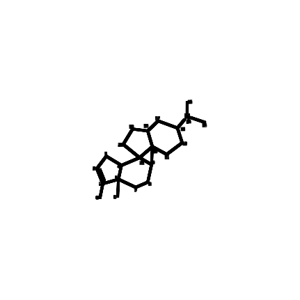 CC1=CCC2C1(C)CCC1C34CCC(N(C)C)CC3CCC214